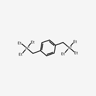 CC[N+](CC)(CC)Cc1ccc(C[N+](CC)(CC)CC)cc1